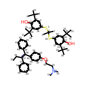 CC(C)(Sc1cc(C(C)(C)C)c(O)c(C(C)(C)C)c1)Sc1cc(C(C)(C)C)c(O)c(C(C)(C)C)c1.CC/C(=C(\c1ccccc1)c1ccc(OCCN(C)C)cc1)c1ccccc1